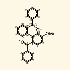 COc1ccc(C(=O)c2ccccc2)c(-c2ccccc2C(=O)c2ccccc2)c1O